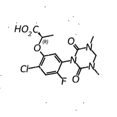 C[C@@H](Oc1cc(N2C(=O)N(C)CN(C)C2=O)c(F)cc1Cl)C(=O)O